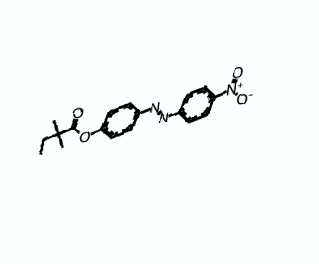 CCC(C)(C)C(=O)Oc1ccc(/N=N/c2ccc([N+](=O)[O-])cc2)cc1